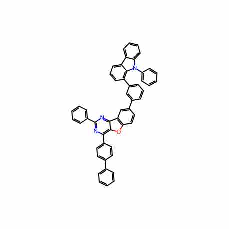 c1ccc(-c2ccc(-c3nc(-c4ccccc4)nc4c3oc3ccc(-c5cccc(-c6cccc7c8ccccc8n(-c8ccccc8)c67)c5)cc34)cc2)cc1